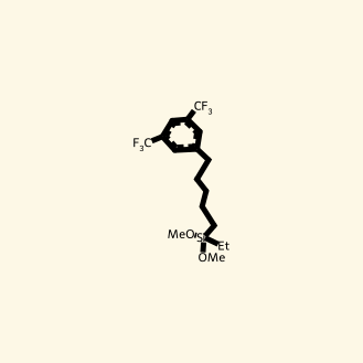 CC[Si](CCCCCc1cc(C(F)(F)F)cc(C(F)(F)F)c1)(OC)OC